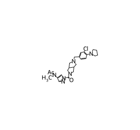 CC(=O)N(C)c1cnn(C(=O)N2CC3CN(Cc4ccc(N5CCCC5)c(Cl)c4)CC3C2)c1